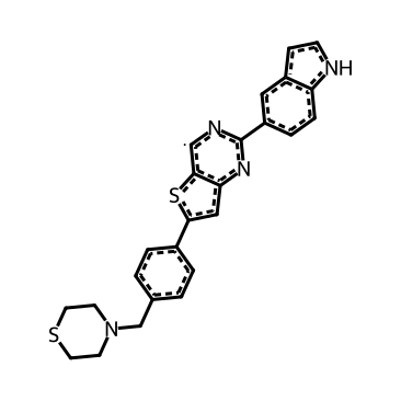 [c]1nc(-c2ccc3[nH]ccc3c2)nc2cc(-c3ccc(CN4CCSCC4)cc3)sc12